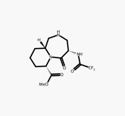 COC(=O)[C@@H]1CCC[C@@H]2CNC[C@H](NC(=O)C(F)(F)F)C(=O)N21